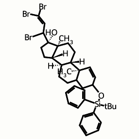 CC(C)(C)[Si](OC1C=C[C@@]2(C)C(CC[C@@H]3[C@@H]2CC[C@@]2(C)[C@H]3CC[C@@]2(O)C(Br)C=C(Br)Br)C1)(c1ccccc1)c1ccccc1